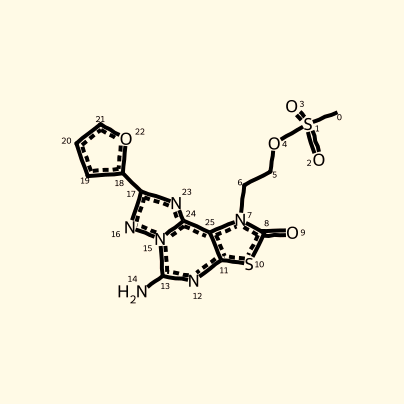 CS(=O)(=O)OCCn1c(=O)sc2nc(N)n3nc(-c4ccco4)nc3c21